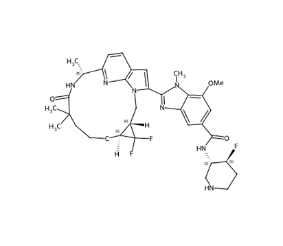 COc1cc(C(=O)N[C@H]2CNCC[C@@H]2F)cc2nc(-c3cc4ccc5nc4n3C[C@H]3[C@H](CCCC(C)(C)C(=O)N[C@@H]5C)C3(F)F)n(C)c12